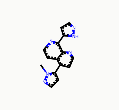 Cn1nccc1-c1ccnc2c(-c3ccn[nH]3)nccc12